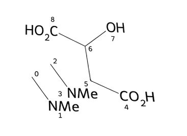 CNC.CNC.O=C(O)CC(O)C(=O)O